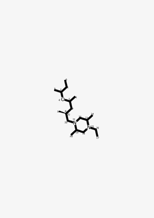 CCC(C)OC(C)C[C@H](C)CN1CC(C)N(CC)CC1C